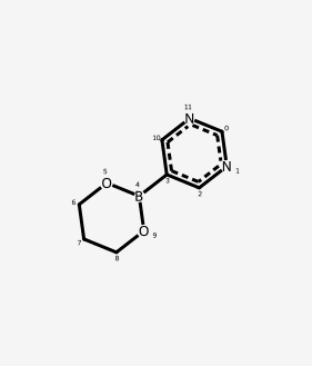 c1ncc(B2OCCCO2)cn1